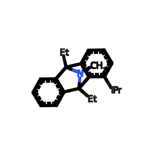 CCC12c3ccccc3C(CC)(c3c(C(C)C)cccc31)N2C